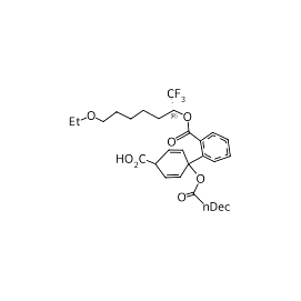 CCCCCCCCCCC(=O)OC1(c2ccccc2C(=O)O[C@H](CCCCCOCC)C(F)(F)F)C=CC(C(=O)O)C=C1